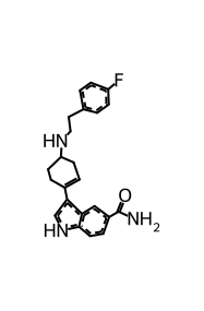 NC(=O)c1ccc2[nH]cc(C3=CCC(NCCc4ccc(F)cc4)CC3)c2c1